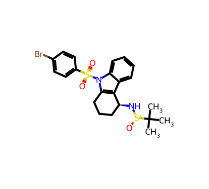 CC(C)(C)[S@@+]([O-])N[C@H]1CCCc2c1c1ccccc1n2S(=O)(=O)c1ccc(Br)cc1